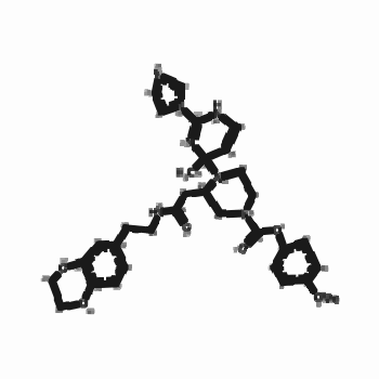 COc1ccc(OC(=O)N2CCN(C3(C)C=CNC(n4ccnc4)=N3)C(CC(=O)NCCc3ccc4c(c3)OCCO4)C2)cc1